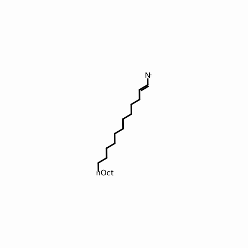 CCCCCCCCCCCCCCCCCCC=C[N]